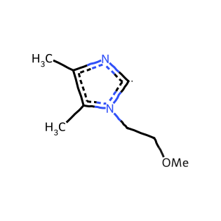 COCCn1[c]nc(C)c1C